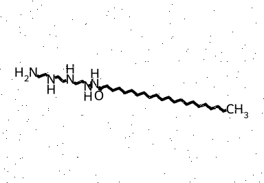 CCCCCCCCCCCCCCCCCCCCCC(=O)NNCCNCCNCCN